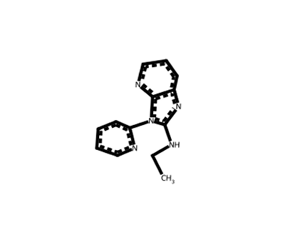 CCNc1nc2cccnc2n1-c1ccccn1